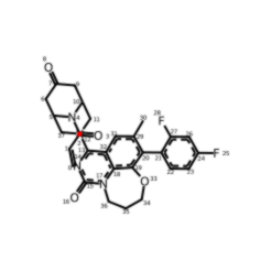 C=CC(=O)N1C2CC(=O)CC1CN(c1nc(=O)n3c4c(c(-c5ccc(F)cc5F)c(C)cc14)OCCC3)C2